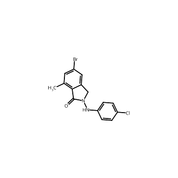 Cc1cc(Br)cc2c1C(=O)N(Nc1ccc(Cl)cc1)C2